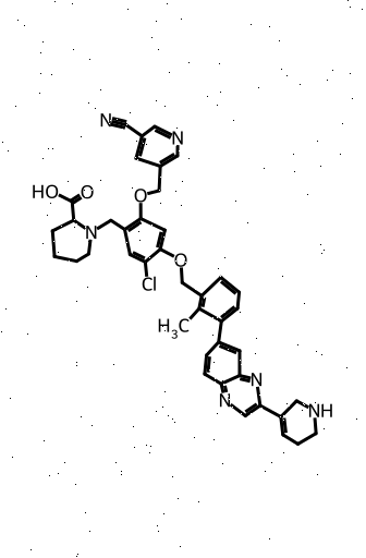 Cc1c(COc2cc(OCc3cncc(C#N)c3)c(CN3CCCCC3C(=O)O)cc2Cl)cccc1-c1ccc2ncc(C3=CCCNC3)nc2c1